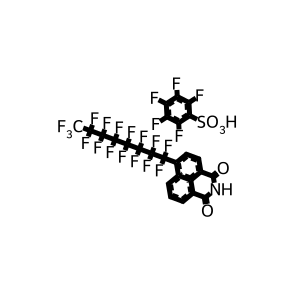 O=C1NC(=O)c2ccc(C(F)(F)C(F)(F)C(F)(F)C(F)(F)C(F)(F)C(F)(F)C(F)(F)C(F)(F)F)c3cccc1c23.O=S(=O)(O)c1c(F)c(F)c(F)c(F)c1F